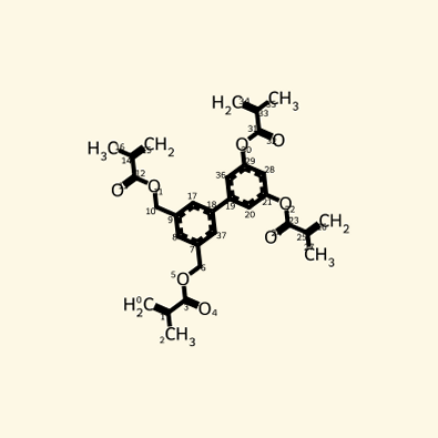 C=C(C)C(=O)OCc1cc(COC(=O)C(=C)C)cc(-c2cc(OC(=O)C(=C)C)cc(OC(=O)C(=C)C)c2)c1